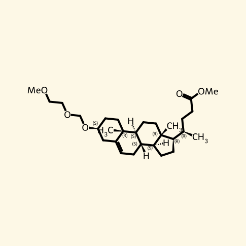 COCCOCO[C@H]1CC[C@@]2(C)C(=CC[C@H]3[C@@H]4CC[C@H]([C@H](C)CCC(=O)OC)[C@@]4(C)CC[C@@H]32)C1